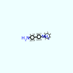 C1=CCCCCC1.Nc1ccc(-c2ccc(N)cc2)cc1